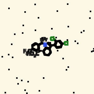 CCC[C@@H](c1ccc(C(F)(F)F)cc1)n1cc(-c2ccc(Cl)cc2Cl)c2c1[C@@H](CC(=O)O)CCC2